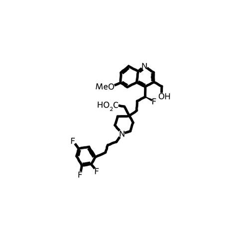 COc1ccc2ncc(CO)c([C@@H](F)CCC3(CC(=O)O)CCN(CCCc4cc(F)cc(F)c4F)CC3)c2c1